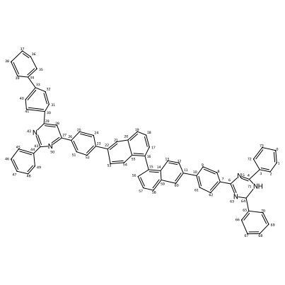 c1ccc(C2=NC(c3ccc(-c4ccc5c(-c6cccc7cc(-c8ccc(-c9cc(-c%10ccc(-c%11ccccc%11)cc%10)nc(-c%10ccccc%10)n9)cc8)ccc67)cccc5c4)cc3)=NC(c3ccccc3)N2)cc1